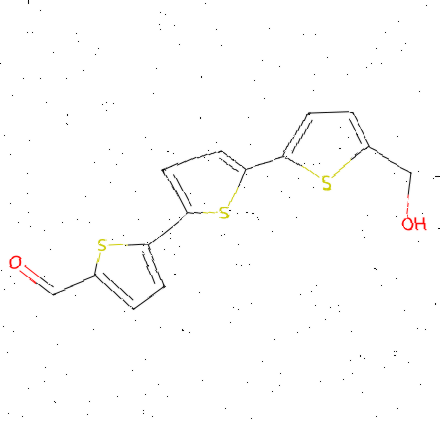 O=Cc1ccc(-c2ccc(-c3ccc(CO)s3)s2)s1